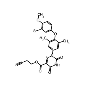 COc1ccc(Oc2c(C)cc(-n3nc(C(=O)OCCC#N)c(=O)[nH]c3=O)cc2C)cc1Br